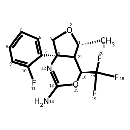 C[C@H]1OC[C@]2(c3ccccc3F)N=C(N)O[C@H](C(F)(F)F)C12